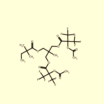 CCC(C)(C)C(=O)OCC(C)(COC(=O)C(OC(C)=O)(C(F)(F)F)C(F)(F)F)COC(=O)C(OC(C)=O)(C(F)(F)F)C(F)(F)F